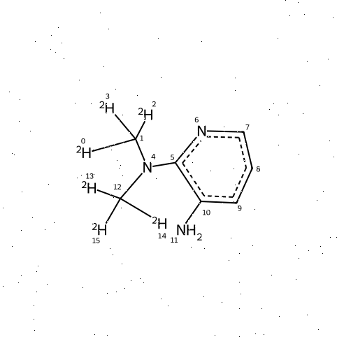 [2H]C([2H])([2H])N(c1ncccc1N)C([2H])([2H])[2H]